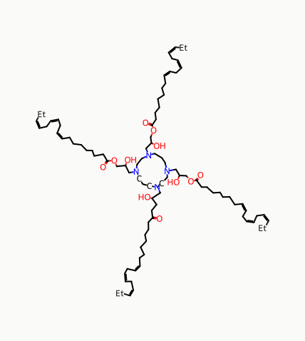 CC/C=C\C/C=C\C/C=C\CCCCCCCC(=O)CCC(O)CN1CCCN(CC(O)COC(=O)CCCCCCC/C=C\C/C=C\C/C=C\CC)CCN(CC(O)COC(=O)CCCCCCC/C=C\C/C=C\C/C=C\CC)CCCN(CC(O)COC(=O)CCCCCCC/C=C\C/C=C\C/C=C\CC)CC1